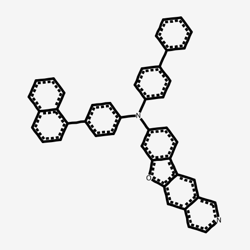 c1ccc(-c2ccc(N(c3ccc(-c4cccc5ccccc45)cc3)c3ccc4c(c3)oc3cc5ccncc5cc34)cc2)cc1